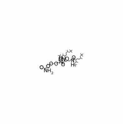 CC(CCC(C(=O)NCCCCC(NC(=O)C(CCC(C)CC(C)(C)C)C(C)CC(C)(C)C)C(=O)NCCOCCOc1ccc(C(N)c2ccccc2)cc1)C(C)CC(C)(C)C)CC(C)(C)C